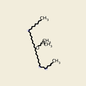 CCC=CC/C=C\C/C=C\CCCCCCCCC(CCCCCCCC/C=C\CCCCCCCC)OCCCN(C)C